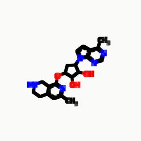 Cc1cc2c(c(OC3CC(n4ccc5c(C)ncnc54)C(O)C3O)n1)CNCC2